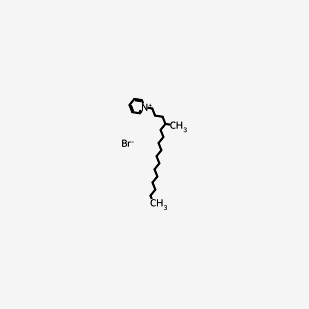 CCCCCCCCCCCCC(C)CCC[n+]1ccccc1.[Br-]